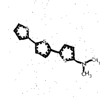 CN(C)c1ccc(-c2ccc(-c3cccs3)s2)s1